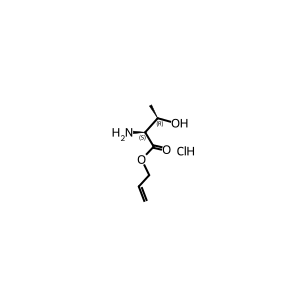 C=CCOC(=O)[C@@H](N)[C@@H](C)O.Cl